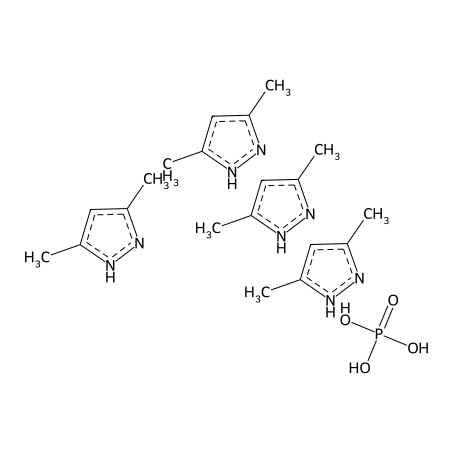 Cc1cc(C)[nH]n1.Cc1cc(C)[nH]n1.Cc1cc(C)[nH]n1.Cc1cc(C)[nH]n1.O=P(O)(O)O